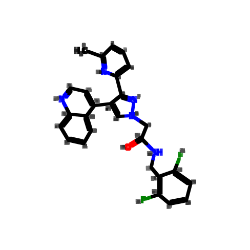 Cc1cccc(-c2nn(CC(=O)NCc3c(F)cccc3F)cc2-c2ccnc3ccccc23)n1